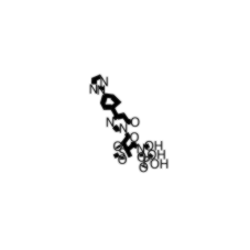 CC(CCn1cnc(-c2ccc(-n3nccn3)cc2)cc1=O)(C(=O)N(O)OP(=O)(O)O)S(C)(=O)=O